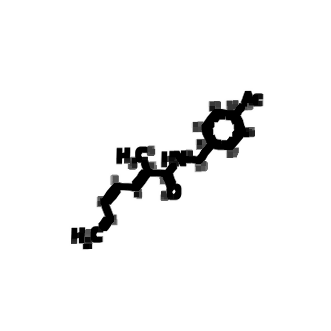 C=C/C=C\C=C(/C)C(=O)NCc1ccc(C(C)=O)cc1